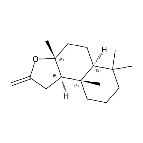 C=C1C[C@@H]2[C@@]3(C)CCCC(C)(C)[C@@H]3CC[C@@]2(C)O1